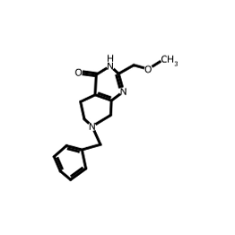 COCc1nc2c(c(=O)[nH]1)CCN(Cc1ccccc1)C2